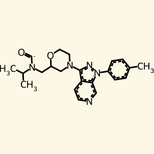 Cc1ccc(-n2nc(N3CCOC(CN([C]=O)C(C)C)C3)c3ccncc32)cc1